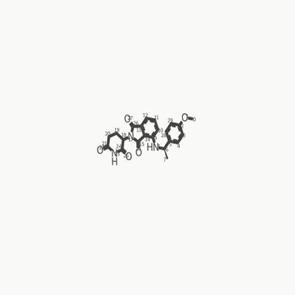 COc1ccc([C@@H](C)Nc2cccc3c2C(=O)N(C2CCC(=O)NC2=O)C3=O)cc1